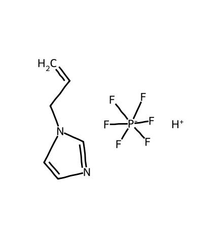 C=CCn1ccnc1.F[P-](F)(F)(F)(F)F.[H+]